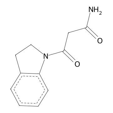 NC(=O)CC(=O)N1CCc2ccccc21